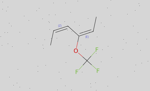 C/C=C\C(=C/C)OC(F)(F)F